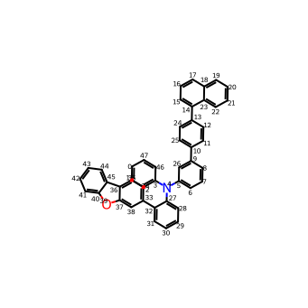 c1ccc(N(c2cccc(-c3ccc(-c4cccc5ccccc45)cc3)c2)c2ccccc2-c2ccc3c(c2)oc2ccccc23)cc1